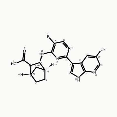 O=C(O)C1[C@@H]2CC[C@@H](C2)[C@@H]1Nc1nc(-c2c[nH]c3ncc(Cl)cc23)ncc1F